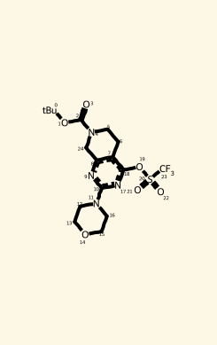 CC(C)(C)OC(=O)N1CCc2c(nc(N3CCOCC3)nc2OS(=O)(=O)C(F)(F)F)C1